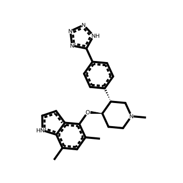 Cc1cc(C)c2[nH]ccc2c1O[C@@H]1CCN(C)C[C@H]1c1ccc(-c2nnn[nH]2)cc1